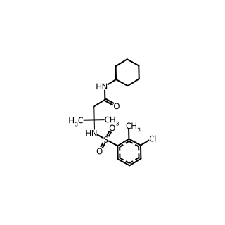 Cc1c(Cl)cccc1S(=O)(=O)NC(C)(C)CC(=O)NC1CCCCC1